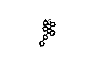 C1=CCC2C(=C1)C(C1=CCCC3Sc4ccccc4C13)=C1C=CCCC1=C2C1CC=C(C2CC=CCC2)CC1